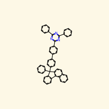 c1ccc(-c2nc(-c3ccccc3)nc(-c3ccc(-c4ccc(C5(c6ccccc6)c6ccccc6-c6c5ccc5ccccc65)cc4)cc3)n2)cc1